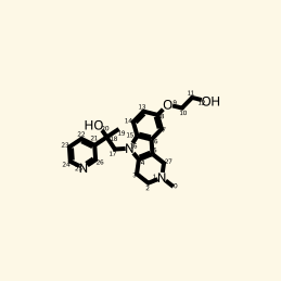 CN1CCc2c(c3cc(OCCO)ccc3n2CC(C)(O)c2cccnc2)C1